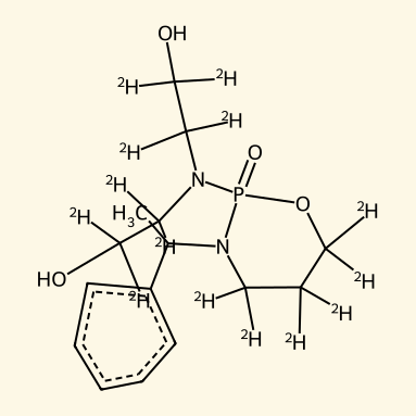 [2H]C([2H])(O)C([2H])([2H])N(C([2H])([2H])C([2H])([2H])O)P1(=O)OC([2H])([2H])C([2H])([2H])C([2H])([2H])N1C(C)c1ccccc1